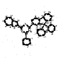 c1ccc(-c2nc(-c3ccc4c(c3)C(c3ccccc3)(c3ccccc3)c3ccccc3-4)nc(-c3cc4ccccc4s3)n2)cc1